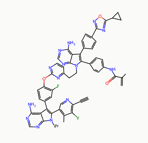 C#Cc1ncc(-c2c(-c3ccc(Oc4nccc(CCn5c(-c6ccc(NC(=O)C(=C)C)cc6)c(-c6ccc(-c7noc(C8CC8)n7)cc6)c6c(N)ncnc65)n4)c(F)c3)c3c(N)ncnc3n2C(C)C)c(C)c1F